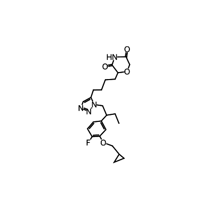 CCC(Cn1nncc1CCCCC1OCC(=O)NC1=O)c1ccc(F)c(OCC2CC2)c1